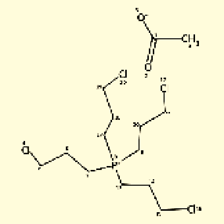 CC(=O)[O-].ClCCC[P+](CCCCl)(CCCCl)CCCCl